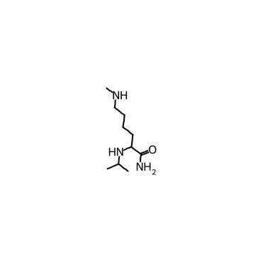 CNCCCCC(NC(C)C)C(N)=O